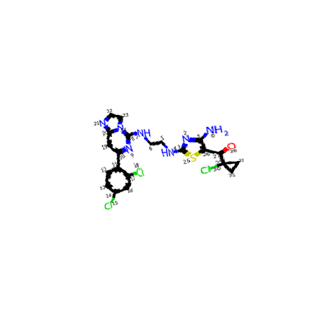 Nc1nc(NCCNc2nc(-c3ccc(Cl)cc3Cl)cc3nccn23)sc1C(=O)C1(Cl)CC1